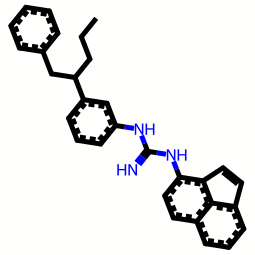 CCCC(Cc1ccccc1)c1cccc(NC(=N)Nc2ccc3cccc4c3c2C=C4)c1